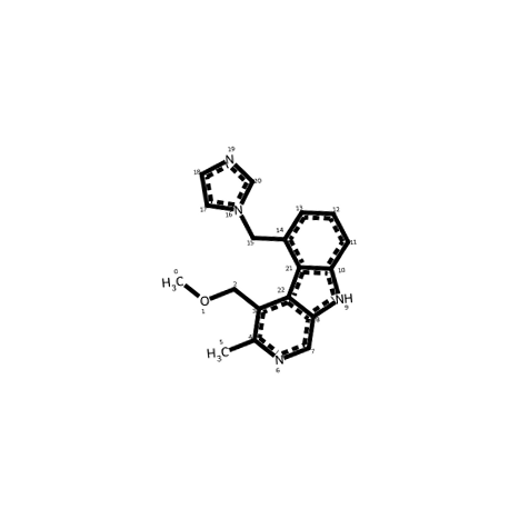 COCc1c(C)ncc2[nH]c3cccc(Cn4ccnc4)c3c12